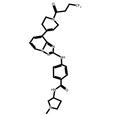 CN1CCC(NC(=O)c2ccc(Nc3nc4c(C5=CCN(C(=O)CCC(F)(F)F)CC5)cccn4n3)cc2)C1